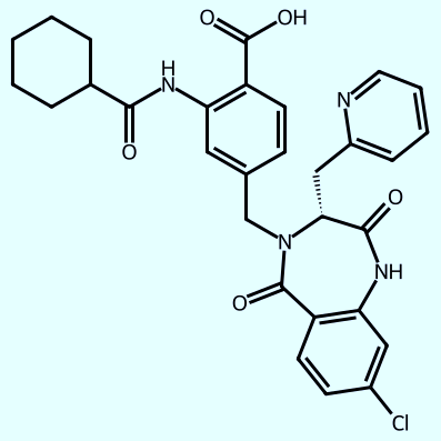 O=C(O)c1ccc(CN2C(=O)c3ccc(Cl)cc3NC(=O)[C@H]2Cc2ccccn2)cc1NC(=O)C1CCCCC1